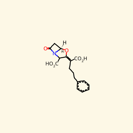 O=C(O)C(CCCc1ccccc1)=C1O[C@@H]2CC(=O)N2C1C(=O)O